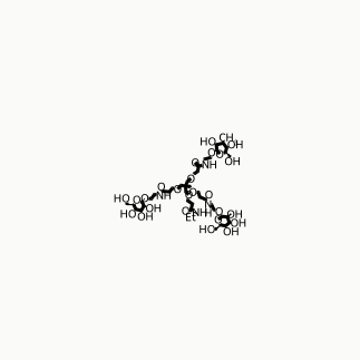 CCNC(=O)CCOCC(COCCC(=O)NCCO[C@H]1O[C@H](CO)[C@@H](O)[C@H](C)[C@@H]1O)(COCCC(=O)NCCO[C@H]1O[C@H](CO)[C@@H](O)[C@H](O)[C@@H]1O)COCCC(=O)NCCO[C@H]1O[C@H](CO)[C@@H](O)[C@H](O)[C@@H]1O